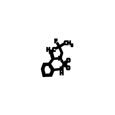 CC(C)(F)CN1C(=O)c2ccccc2NS1(=O)=O